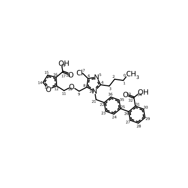 CCCCc1nc(Cl)c(COCc2occc2C(=O)O)n1Cc1ccc(-c2ccccc2C(=O)O)cc1